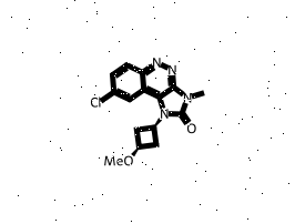 CO[C@H]1C[C@@H](n2c(=O)n(C)c3nnc4ccc(Cl)cc4c32)C1